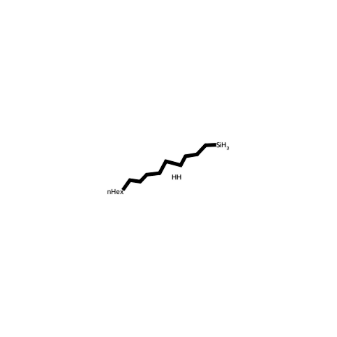 CCCCCCCCCCCCCCC[SiH3].[HH]